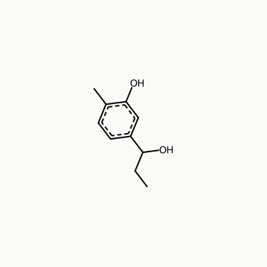 CCC(O)c1ccc(C)c(O)c1